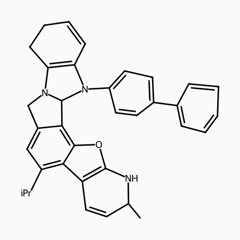 CC1C=Cc2c(oc3c4c(cc(C(C)C)c23)CN2C3=C(C=CCC3)N(c3ccc(-c5ccccc5)cc3)C42)N1